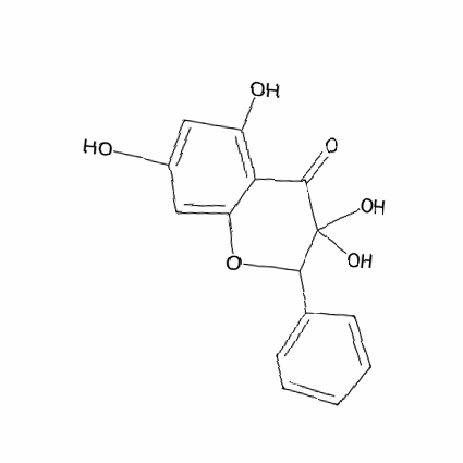 O=C1c2c(O)cc(O)cc2OC(c2ccccc2)C1(O)O